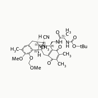 COCOc1c(OC)c(C)cc2c1[C@H]1C3CC4=C(C(=O)C(C)=C(C)C4=O)[C@H](CNC(=O)[C@H](C)NC(=O)OC(C)(C)C)N3[C@@H](C#N)[C@H](C2)N1C